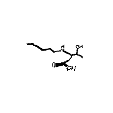 CCCCCNC(C(=O)O)C(C)O